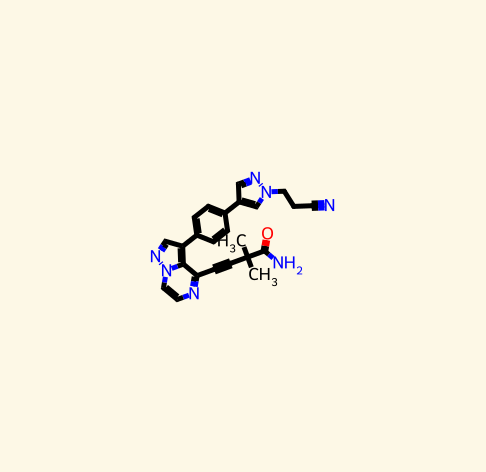 CC(C)(C#Cc1nccn2ncc(-c3ccc(-c4cnn(CCC#N)c4)cc3)c12)C(N)=O